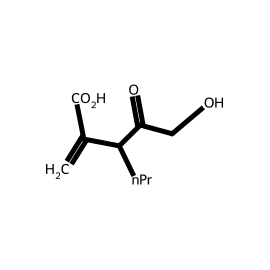 C=C(C(=O)O)C(CCC)C(=O)CO